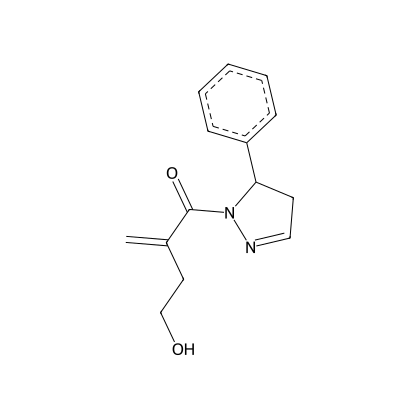 C=C(CCO)C(=O)N1N=CCC1c1ccccc1